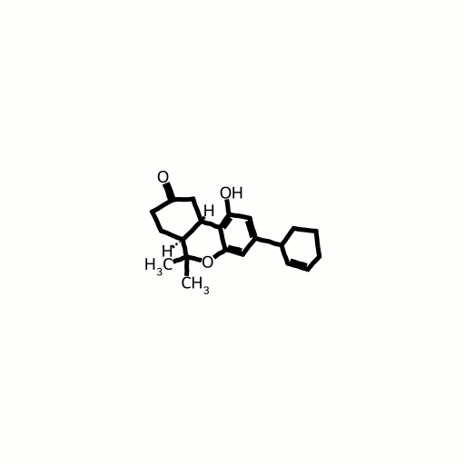 CC1(C)Oc2cc(C3C=CCCC3)cc(O)c2[C@@H]2CC(=O)CC[C@@H]21